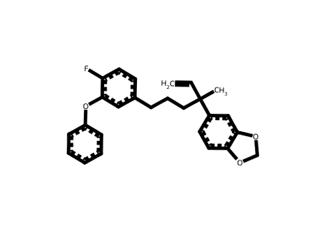 C=CC(C)(CCCc1ccc(F)c(Oc2ccccc2)c1)c1ccc2c(c1)OCO2